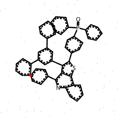 O=P(c1ccccc1)(c1ccccc1)c1ccc(-c2sc3c(c(-c4ccccc4)nc4ccccc43)c2-c2cc(-c3ccccc3)cc(-c3ccccc3)c2)cc1